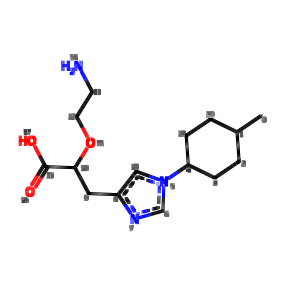 CC1CCC(n2cnc(CC(OCCN)C(=O)O)c2)CC1